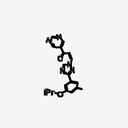 Cc1cc(OC(C)C)cc(-c2ncn(/C=C\C(=O)c3cncnc3)n2)c1